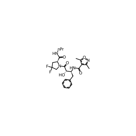 CCCNC(=O)[C@@H]1CC(F)(F)CN1C(=O)[C@@H](O)[C@H](Cc1ccccc1)NC(=O)c1c(C)noc1C